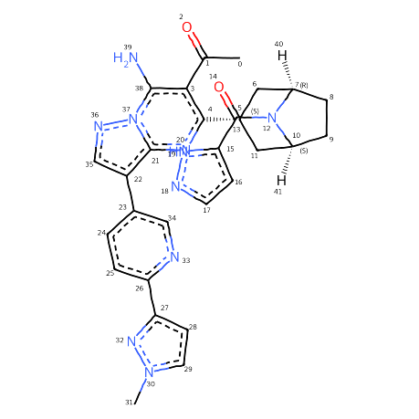 CC(=O)c1c([C@@H]2C[C@H]3CC[C@@H](C2)N3C(=O)c2ccn[nH]2)nc2c(-c3ccc(-c4ccn(C)n4)nc3)cnn2c1N